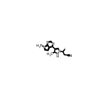 CC1NN(C(I)CC#N)C=C1c1ncnc2c1ccn2P